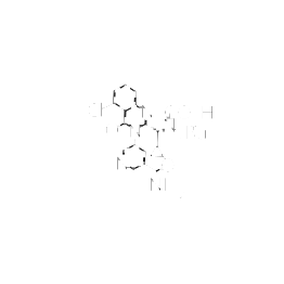 CC(C)(C)N(C(=O)O)[C@H](c1nc2cccc(Cl)c2c(=O)n1-c1cncc(C(N)=O)c1)C1CC1